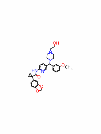 COc1cccc(C(c2ccc(NC(=O)C3(c4ccc5c(c4)OCO5)CC3)nc2)N2CCN(CCO)CC2)c1